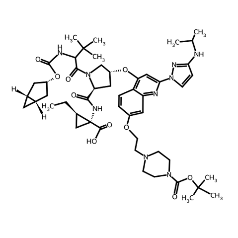 CC[C@@H]1C[C@]1(NC(=O)[C@@H]1C[C@@H](Oc2cc(-n3ccc(NC(C)C)n3)nc3cc(OCCN4CCN(C(=O)OC(C)(C)C)CC4)ccc23)CN1C(=O)C(NC(=O)O[C@@H]1C[C@@H]2C[C@@H]2C1)C(C)(C)C)C(=O)O